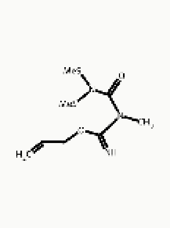 C=CCOC(=N)N(C)C(=O)N(SC)SC